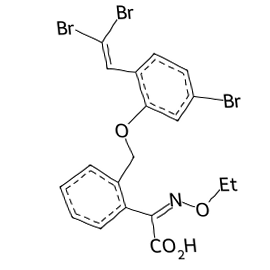 CCON=C(C(=O)O)c1ccccc1COc1cc(Br)ccc1C=C(Br)Br